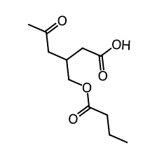 CCCC(=O)OCC(CC(C)=O)CC(=O)O